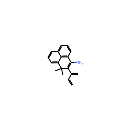 C=CC(=C)C1=C(N)c2cccc3cccc(c23)C1(C)C